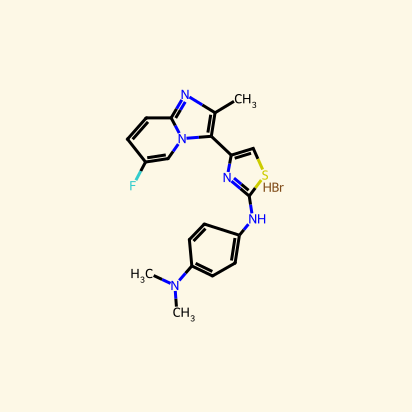 Br.Cc1nc2ccc(F)cn2c1-c1csc(Nc2ccc(N(C)C)cc2)n1